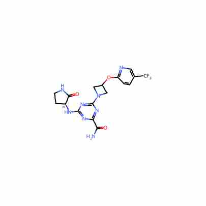 NC(=O)c1nc(N[C@H]2CCNC2=O)nc(N2CC(Oc3ccc(C(F)(F)F)cn3)C2)n1